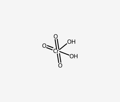 [O]=[Cr](=[O])(=[O])([OH])[OH]